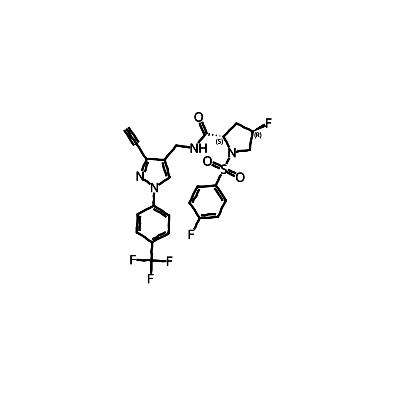 C#Cc1nn(-c2ccc(C(F)(F)F)cc2)cc1CNC(=O)[C@@H]1C[C@@H](F)CN1S(=O)(=O)c1ccc(F)cc1